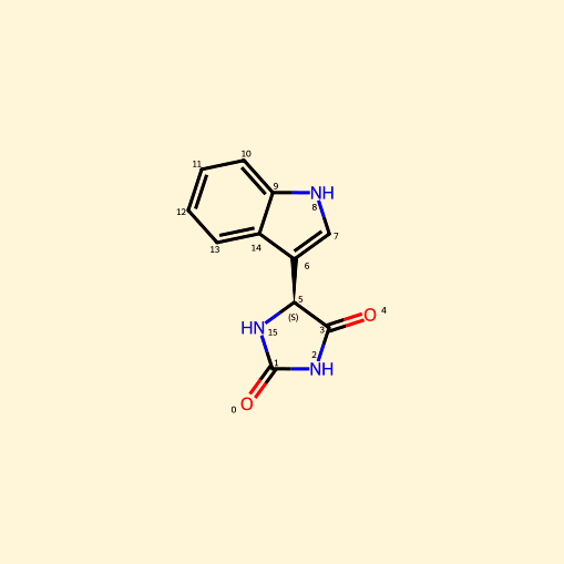 O=C1NC(=O)[C@H](c2c[nH]c3ccccc23)N1